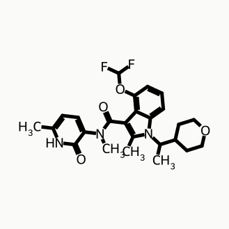 Cc1ccc(N(C)C(=O)c2c(C)n(C(C)C3CCOCC3)c3cccc(OC(F)F)c23)c(=O)[nH]1